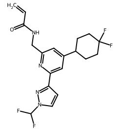 C=CC(=O)NCc1cc(C2CCC(F)(F)CC2)cc(-c2ccn(C(F)F)n2)n1